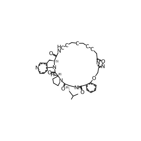 CC(C)C[C@H]1NC(=O)c2ccccc2OCc2noc(n2)CCCCCCCCNC(=O)[C@H](Cc2cccnc2)N(C)C(=O)[C@H]2CCCN2C1=O